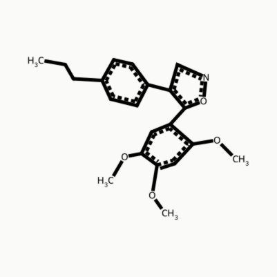 CCCc1ccc(-c2cnoc2-c2cc(OC)c(OC)cc2OC)cc1